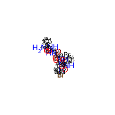 CCCC(NC(=O)[C@H](Cc1ccc(Br)cc1)NC(=O)[C@@H](NC(=O)OC(C)(C)C)C1CCCCC1)C(=O)C(=O)NCC(=O)NC(C(N)=O)c1ccccc1